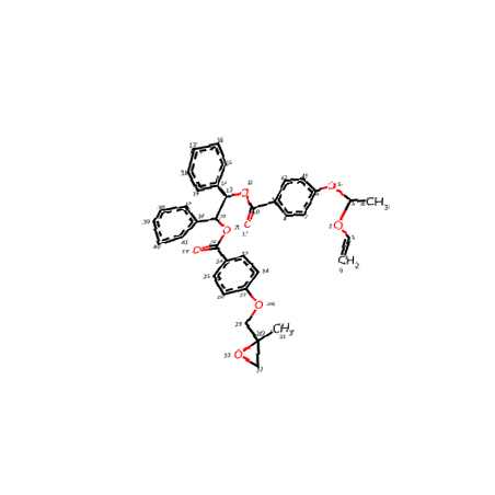 C=COC(C)Oc1ccc(C(=O)OC(c2ccccc2)C(OC(=O)c2ccc(OCC3(C)CO3)cc2)c2ccccc2)cc1